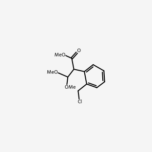 COC(=O)C(c1ccccc1CCl)C(OC)OC